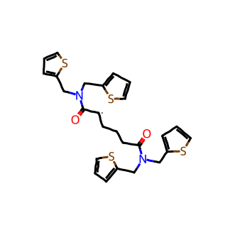 O=C([CH]CCCC(=O)N(Cc1cccs1)Cc1cccs1)N(Cc1cccs1)Cc1cccs1